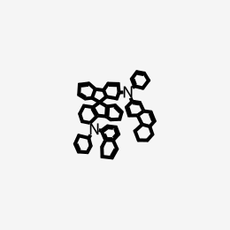 C1=CCCC(N(C2=CC3C=CC4CCCCC4C3C=C2)C2C=CC3C4C=CC=CC4C4(C5=C(CCC=C5)C5=C4CCCC5N(c4cccc5c4CCC=C5)C4CC=CCC4)C3C2)=C1